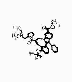 CCN(C)CC1CCCN1C(=O)C1=Cc2c(OC(F)(F)F)cccc2-c2c(C3CCCCC3)c3ccc(C(=O)OC)cc3n2C1